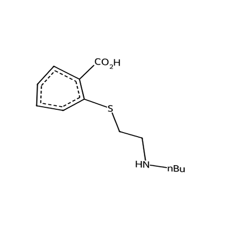 CCCCNCCSc1ccccc1C(=O)O